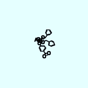 O=C([O-])c1ccc(OP(=O)(OCc2ccccc2)OCc2ccccc2)cc1.[Ag+]